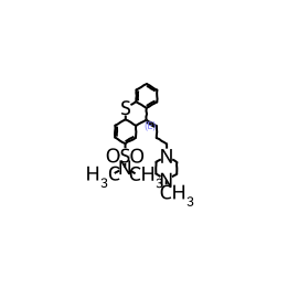 CN1CCN(CC/C=C2/c3ccccc3SC3C=CC(S(=O)(=O)N(C)C)=CC23)CC1